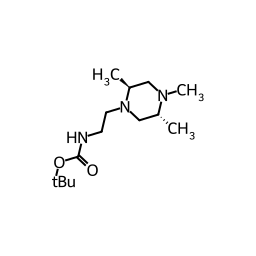 C[C@@H]1CN(CCNC(=O)OC(C)(C)C)[C@@H](C)CN1C